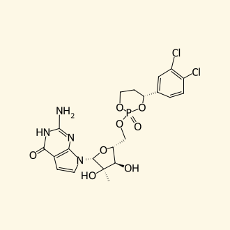 C[C@@]1(O)[C@H](O)[C@@H](COP2(=O)OCC[C@H](c3ccc(Cl)c(Cl)c3)O2)O[C@H]1n1ccc2c(=O)[nH]c(N)nc21